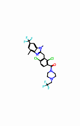 Cc1cc(C(F)(F)F)cc2c1nc(Cc1c(Cl)ccc(C(=O)N3CCN(CC(F)(F)F)CC3)c1Cl)n2C